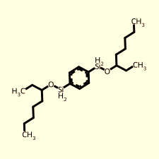 CCCCCC(CC)O[SiH2]c1ccc([SiH2]OC(CC)CCCCC)cc1